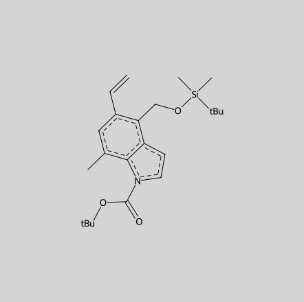 C=Cc1cc(C)c2c(ccn2C(=O)OC(C)(C)C)c1CO[Si](C)(C)C(C)(C)C